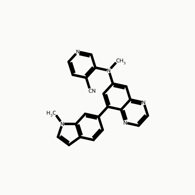 CN(c1cc(-c2ccc3ccn(C)c3c2)c2nccnc2c1)c1cnccc1C#N